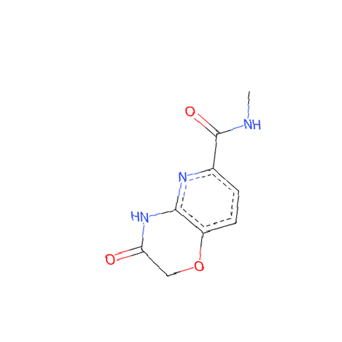 CNC(=O)c1ccc2c(n1)NC(=O)CO2